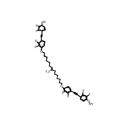 CCCOc1ccc(C#Cc2ccc(OCCCCCCC/C(=C/CCCCCCOc3ccc(C#Cc4ccc(CCC)c(F)c4F)c(F)c3F)C(F)(F)F)c(F)c2F)c(F)c1F